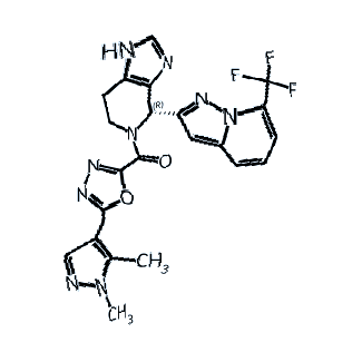 Cc1c(-c2nnc(C(=O)N3CCc4[nH]cnc4[C@@H]3c3cc4cccc(C(F)(F)F)n4n3)o2)cnn1C